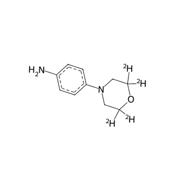 [2H]C1([2H])CN(c2ccc(N)cc2)CC([2H])([2H])O1